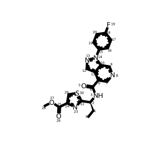 CC[C@H](NC(=O)c1cncc2c1cnn2-c1ccc(F)cc1)c1nc(C(=O)OC)cs1